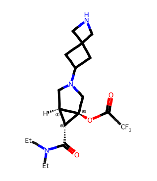 CCN(CC)C(=O)[C@@H]1[C@H]2CN(C3CC4(CNC4)C3)C[C@@]21OC(=O)C(F)(F)F